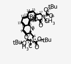 CC(C)(C)OC(=O)[N+](C)(Cc1ccc2ccc3ccc(C[N+](C)(C(=O)OC(C)(C)C)C(=O)OC(C)(C)C)nc3c2n1)C(=O)OC(C)(C)C